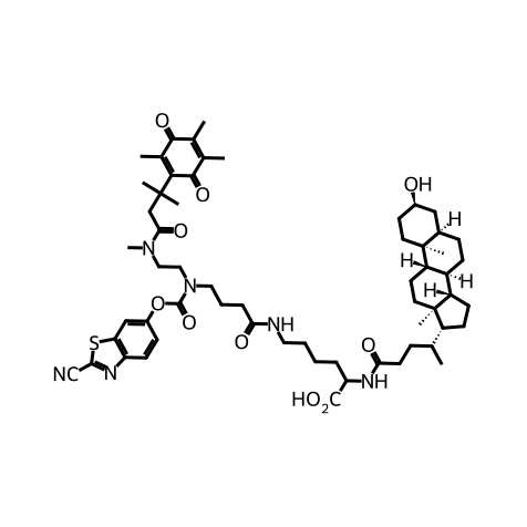 CC1=C(C)C(=O)C(C(C)(C)CC(=O)N(C)CCN(CCCC(=O)NCCCCC(NC(=O)CCC(C)[C@H]2CC[C@H]3[C@@H]4CC[C@@H]5C[C@H](O)CC[C@]5(C)[C@H]4CC[C@]23C)C(=O)O)C(=O)Oc2ccc3nc(C#N)sc3c2)=C(C)C1=O